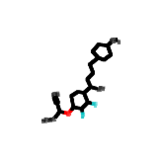 C#CC(CCCCC)OC1CCC(C(CCC)CCCC2CCC(C)CC2)C(F)C1F